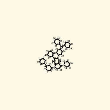 c1ccc(-c2cccc(-c3ccc(-c4ccccc4)c4nc(-c5ccc(N(c6ccccc6)c6ccccc6)cc5)c(-c5ccccc5)nc34)c2)cc1